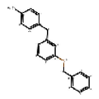 CC(=O)Oc1ccc(Cc2cccc(SCc3ccccc3)c2)cc1